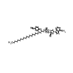 CCCCCCCCCCCCCCCCCCOC[C@H](COP(=O)(O)OC[C@]1(C#N)CC[C@H](c2ccc3c(N)ncnn23)O1)Oc1ccc(C#N)nc1